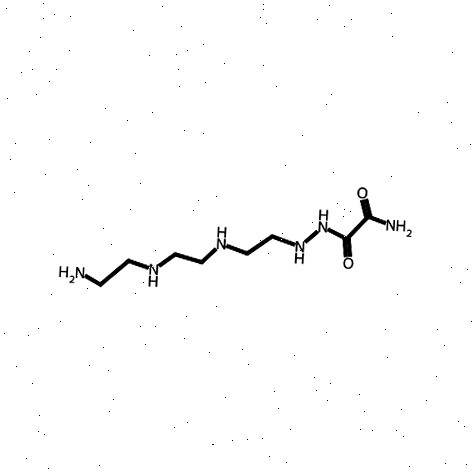 NCCNCCNCCNNC(=O)C(N)=O